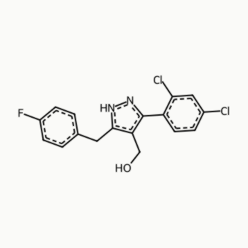 OCc1c(-c2ccc(Cl)cc2Cl)n[nH]c1Cc1ccc(F)cc1